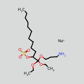 CCCCCCCCCCC(OS(=O)(=O)[O-])C(OCC)(OCC)OCCCN.[Na+]